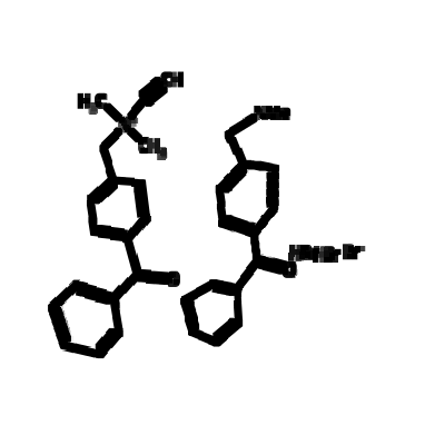 Br.Br.C#C[N+](C)(C)Cc1ccc(C(=O)c2ccccc2)cc1.CNCc1ccc(C(=O)c2ccccc2)cc1.[Br-]